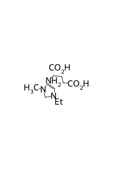 CCN1C=CN(C)C1.N[C@@H](CCC(=O)O)C(=O)O